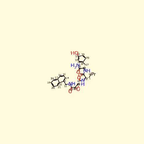 CC(C)C[C@H](NC(=O)[C@@H]1O[C@H]1C(=O)NCc1cccc2ccccc12)C(=O)N[C@@H](Cc1ccc(O)cc1)C(N)=O